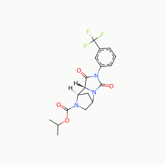 CC(C)OC(=O)N1CC2C[C@@H]1[C@@H]1C(=O)N(c3cccc(C(F)(F)F)c3)C(=O)N21